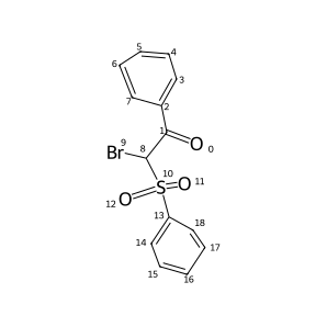 O=C(c1ccccc1)C(Br)S(=O)(=O)c1ccccc1